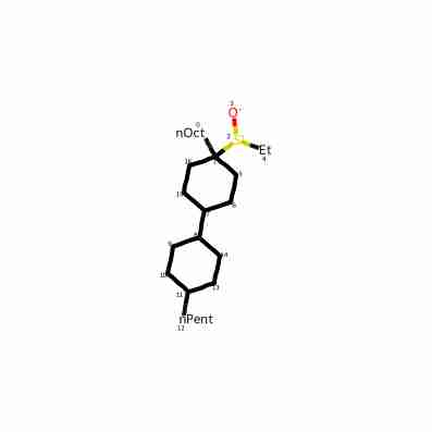 CCCCCCCCC1([S+]([O-])CC)CCC(C2CCC(CCCCC)CC2)CC1